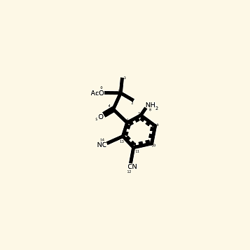 CC(=O)OC(C)(C)C(=O)c1c(N)ccc(C#N)c1C#N